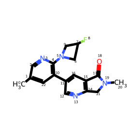 Cc1cnc(N2CC(F)C2)c(-c2cnc3c(c2)C(=O)N(C)C3)c1